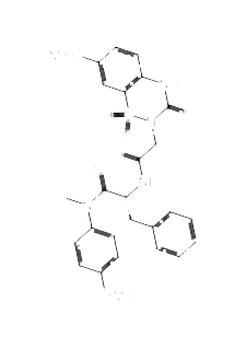 COc1ccc(N(C)C(=O)[C@H](Cc2ccccc2)NC(=O)CN2C(=O)Nc3ccc(OC)cc3S2(=O)=O)cc1